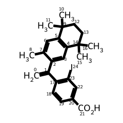 C=C(c1cc2c(cc1C)C(C)(C)CCC2(C)C)c1ccc(C(=O)O)cc1I